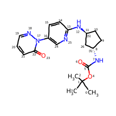 CC(C)(C)OC(=O)N[C@H]1CC[C@H](Nc2ccc(-n3ncccc3=O)cn2)C1